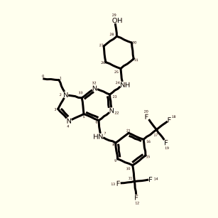 CCn1cnc2c(Nc3cc(C(F)(F)F)cc(C(F)(F)F)c3)nc(NC3CCC(O)CC3)nc21